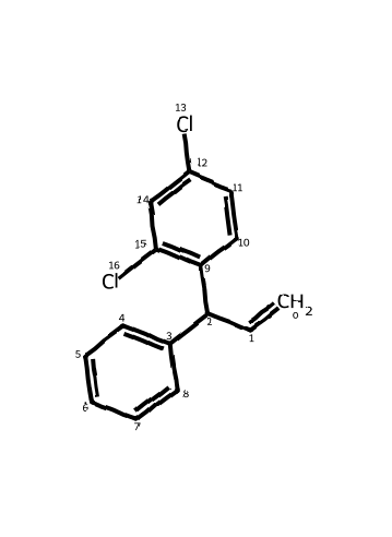 C=CC(c1cc[c]cc1)c1ccc(Cl)cc1Cl